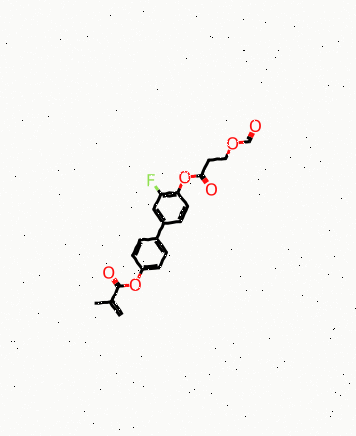 C=C(C)C(=O)Oc1ccc(-c2ccc(OC(=O)CCOC=O)c(F)c2)cc1